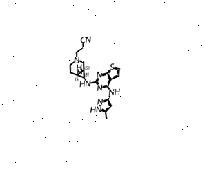 Cc1cc(Nc2nc(N[C@@H]3[C@@H]4CN(CCC#N)CC[C@@H]43)nc3sccc23)n[nH]1